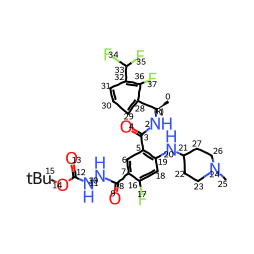 C[C@@H](NC(=O)c1cc(C(=O)NNC(=O)OC(C)(C)C)c(F)cc1NC1CCN(C)CC1)c1cccc(C(F)F)c1F